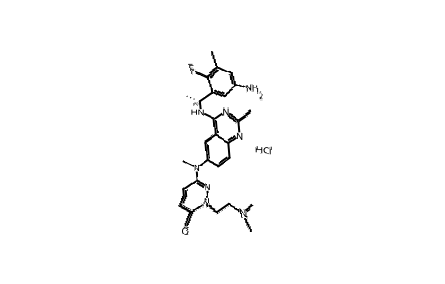 Cc1nc(N[C@H](C)c2cc(N)cc(C)c2F)c2cc(N(C)c3ccc(=O)n(CCN(C)C)n3)ccc2n1.Cl